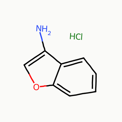 Cl.Nc1coc2ccccc12